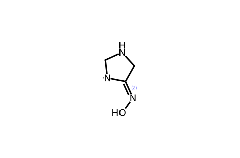 O/N=C1/CNC[N]1